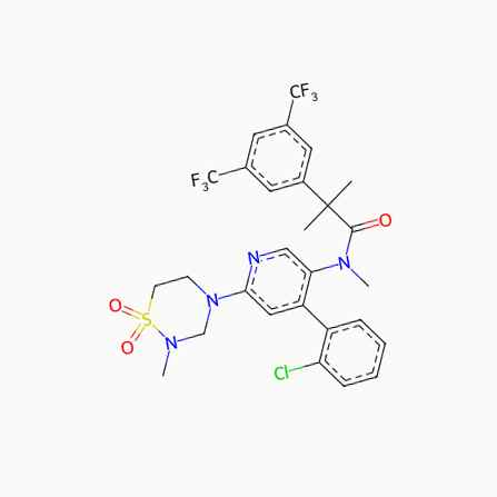 CN(C(=O)C(C)(C)c1cc(C(F)(F)F)cc(C(F)(F)F)c1)c1cnc(N2CCS(=O)(=O)N(C)C2)cc1-c1ccccc1Cl